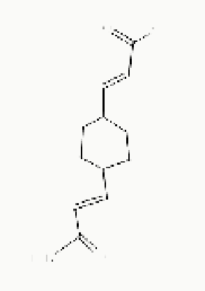 NC(=O)C=CC1CCC(C=CC(N)=O)CC1